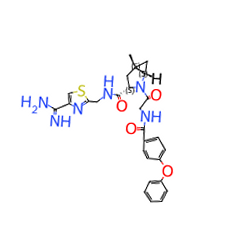 C[C@@]12C[C@@H]1N(C(=O)CNC(=O)c1ccc(Oc3ccccc3)cc1)[C@H](C(=O)NCc1nc(C(=N)N)cs1)C2